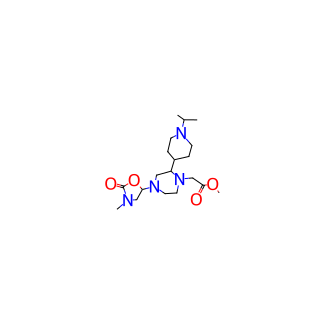 COC(=O)CN1CCN(C2CN(C)C(=O)O2)CC1C1CCN(C(C)C)CC1